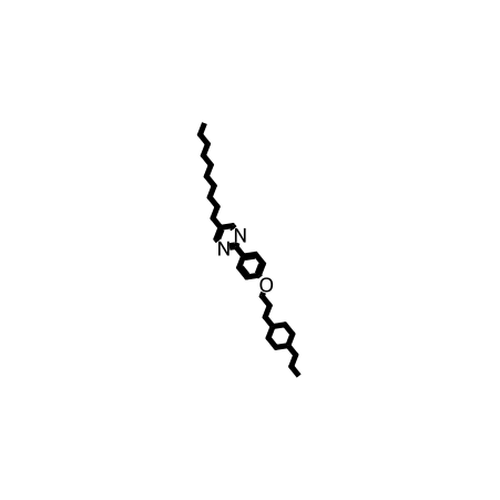 CCCCCCCCCCc1cnc(-c2ccc(OCCCC3CCC(CCC)CC3)cc2)nc1